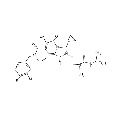 CC(C)NC(=O)N(C)CCN1C(=O)c2c3c(c(O)c(=O)n2C1C1CC1)C(=O)N(Cc1ccc(F)c(Cl)c1)CC3